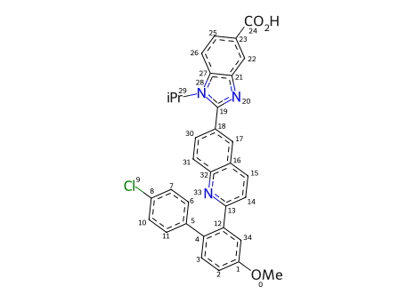 COc1ccc(-c2ccc(Cl)cc2)c(-c2ccc3cc(-c4nc5cc(C(=O)O)ccc5n4C(C)C)ccc3n2)c1